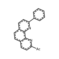 CC(=O)c1ccc2ccc3ccc(-c4ccccc4)nc3c2n1